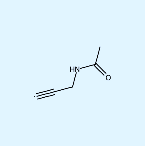 [C]#CCNC(C)=O